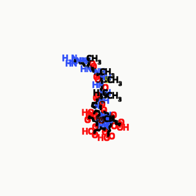 CNC(=O)[C@@H](CCCNC(=N)N)NC(=O)CNC(=O)[C@H](C)NC(=O)[C@H](CSC)NC(=O)CNC(=O)[C@H](CC(C)C)NC(=O)[C@@H]1CCCN1C(=O)COCCNC(=O)[C@@H](CCC(=O)O)NC(=O)[C@@H](CCC(=O)O)NC(=O)[C@@H](CCC(=O)O)NC(=O)[C@@H](CCC(=O)O)NC(=O)[C@@H](CCC(=O)O)NC(C)=O